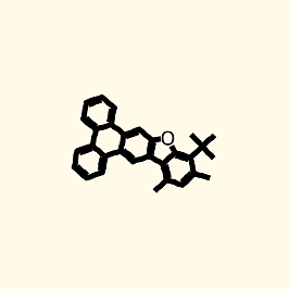 Cc1cc(C)c2c(oc3cc4c5ccccc5c5ccccc5c4cc32)c1C(C)(C)C